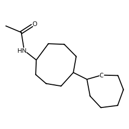 CC(=O)NC1CCCC(C2CCCCCC2)CCC1